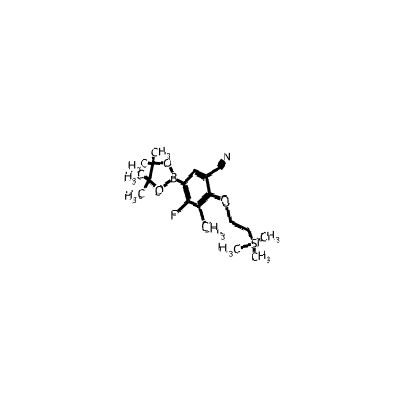 Cc1c(F)c(B2OC(C)(C)C(C)(C)O2)cc(C#N)c1OCC[Si](C)(C)C